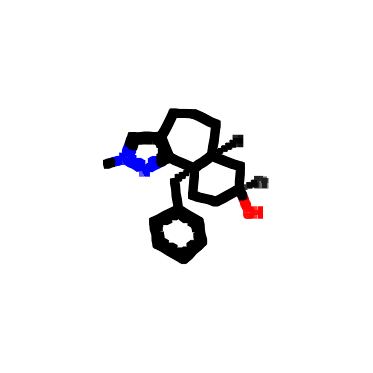 CC[C@]1(O)CC[C@@]2(Cc3ccccc3)c3nn(C)cc3CCC[C@H]2C1